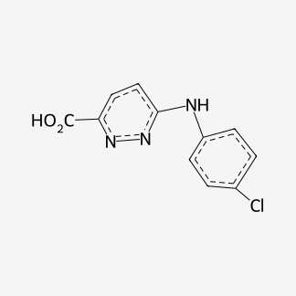 O=C(O)c1ccc(Nc2ccc(Cl)cc2)nn1